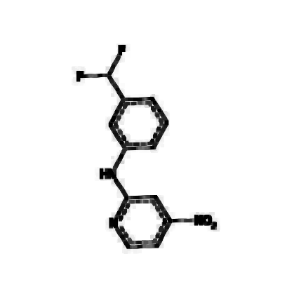 O=[N+]([O-])c1ccnc(Nc2cccc(C(F)F)c2)c1